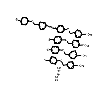 CCCCCCCCc1ccc(COc2ccc([S])cc2)cc1.CCCCCCCCc1ccc(COc2ccc([S])cc2)cc1.CCCCCCCCc1ccc(COc2ccc([S])cc2)cc1.CCCCCCCCc1ccc(COc2ccc([S])cc2)cc1.CCCCCCCCc1ccc(COc2ccc([S])cc2)cc1.F.F.F.F.F